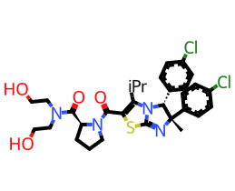 CC(C)C1=C(C(=O)N2CCC[C@H]2C(=O)N(CCO)CCO)SC2=N[C@@](C)(c3ccc(Cl)cc3)[C@@H](c3ccc(Cl)cc3)N21